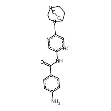 Cl.Nc1ccc(C(=O)Nc2ccc(N3CCN4CCC3CC4)nc2)cc1